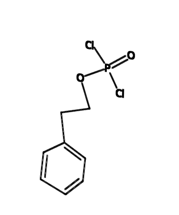 O=P(Cl)(Cl)OCCc1ccccc1